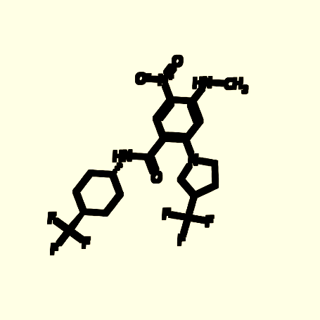 CNc1cc(N2CCC(C(F)(F)F)C2)c(C(=O)N[C@H]2CC[C@H](C(F)(F)F)CC2)cc1[N+](=O)[O-]